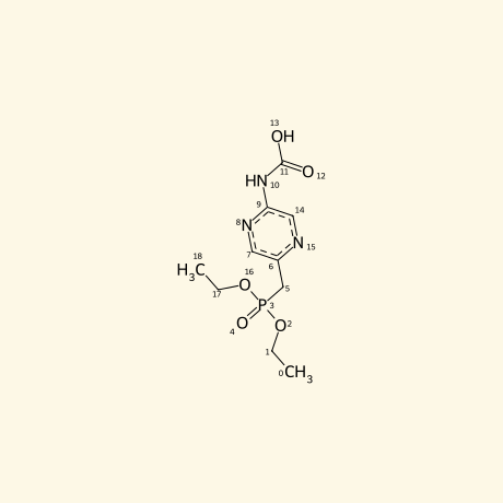 CCOP(=O)(Cc1cnc(NC(=O)O)cn1)OCC